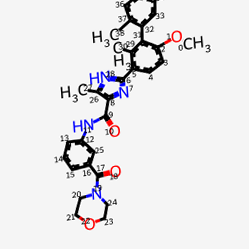 COc1ccc(-c2nc(C(=O)Nc3cccc(C(=O)N4CCOCC4)c3)c(C)[nH]2)c(C)c1-c1ccccc1C